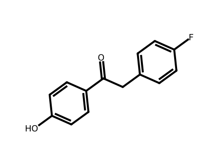 O=C(Cc1ccc(F)cc1)c1ccc(O)cc1